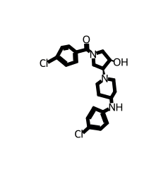 O=C(c1ccc(Cl)cc1)N1C[C@H](O)[C@@H](N2CCC(Nc3ccc(Cl)cc3)CC2)C1